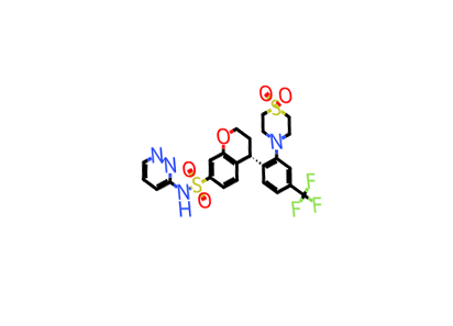 O=S1(=O)CCN(c2cc(C(F)(F)F)ccc2[C@H]2CCOc3cc(S(=O)(=O)Nc4cccnn4)ccc32)CC1